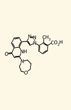 Cc1c(C(=O)O)cccc1-n1cc(-c2cccc3c(=O)cc(N4CCCOCC4)[nH]c23)nn1